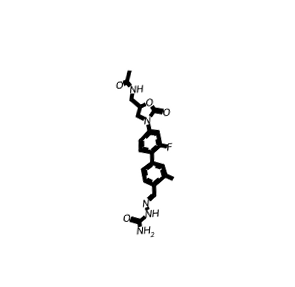 CC(=O)NCC1CN(c2ccc(-c3ccc(C=NNC(N)=O)c(C)c3)c(F)c2)C(=O)O1